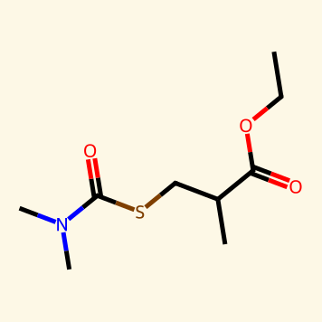 CCOC(=O)C(C)CSC(=O)N(C)C